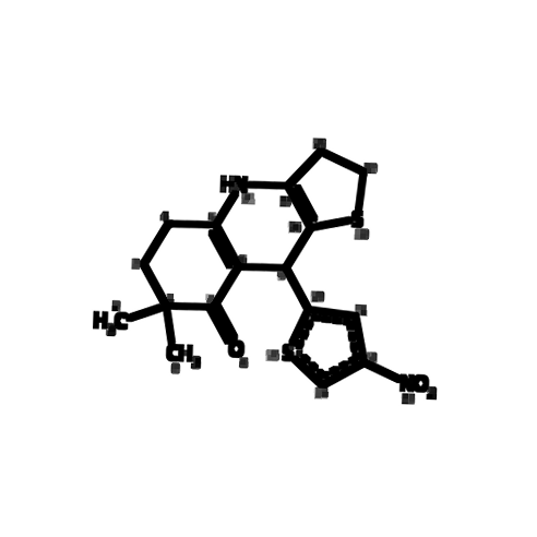 CC1(C)CCC2=C(C1=O)C(c1cc([N+](=O)[O-])cs1)C1=C(CCS1)N2